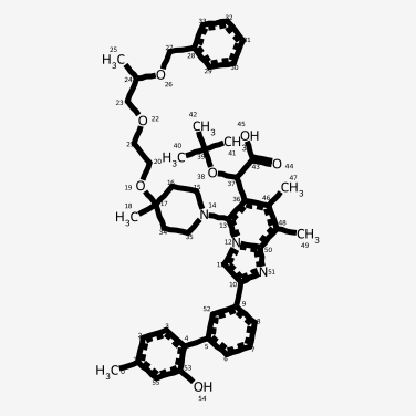 Cc1ccc(-c2cccc(-c3cn4c(N5CCC(C)(OCCOCC(C)OCc6ccccc6)CC5)c(C(OC(C)(C)C)C(=O)O)c(C)c(C)c4n3)c2)c(O)c1